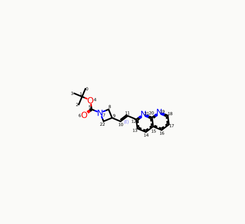 CC(C)(C)OC(=O)N1CC(/C=C/c2ccc3cccnc3n2)C1